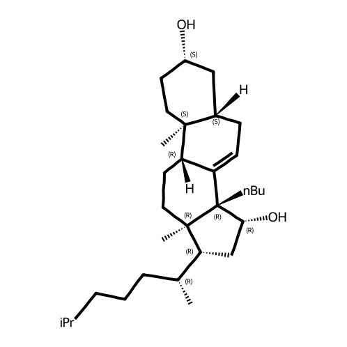 CCCC[C@]12C3=CC[C@H]4C[C@@H](O)CC[C@]4(C)[C@H]3CC[C@]1(C)[C@@H]([C@H](C)CCCC(C)C)C[C@H]2O